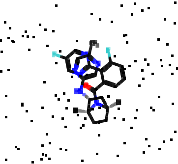 O=C(c1cccc(F)c1-c1ncc(F)cn1)N1[C@@H]2CC[C@H]1[C@H](Nc1cnc(C(F)(F)F)cn1)C2